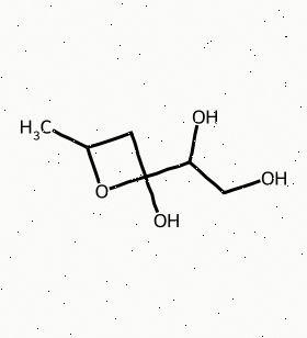 CC1CC(O)(C(O)CO)O1